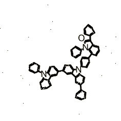 c1ccc(-c2ccc3c(c2)c2cc(-c4ccc5c(c4)c4ccccc4n5-c4ccccc4)ccc2n3-c2ccc(-c3cccc4c5c6ccccc6oc5n(-c5ccccc5)c34)cc2)cc1